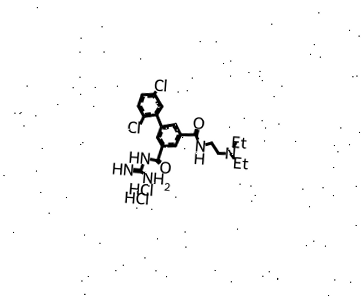 CCN(CC)CCNC(=O)c1cc(C(=O)NC(=N)N)cc(-c2cc(Cl)ccc2Cl)c1.Cl.Cl